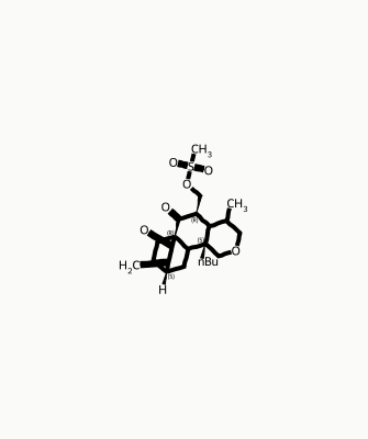 C=C1C(=O)[C@]23CC[C@H]1CC2[C@@]1(CCCC)COCC(C)C1[C@H](COS(C)(=O)=O)C3=O